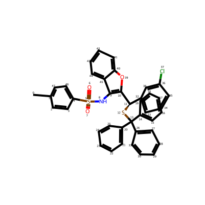 Cc1ccc(S(=O)(=O)Nc2c([C@H](SC(c3ccccc3)(c3ccccc3)c3ccccc3)c3cccc(Cl)c3)oc3ccccc23)cc1